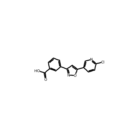 O=C(O)c1cccc(-c2cc(-c3ccc(Cl)nc3)on2)c1